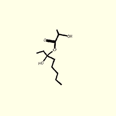 CCCCCC(O)(CC)OC(=O)C(C)O